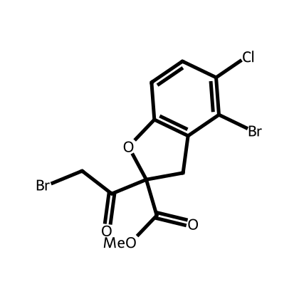 COC(=O)C1(C(=O)CBr)Cc2c(ccc(Cl)c2Br)O1